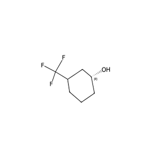 O[C@@H]1CCCC(C(F)(F)F)C1